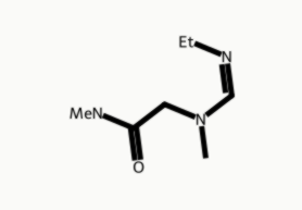 CC/N=C\N(C)CC(=O)NC